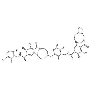 CN1CCN2CN(CC1)n1cc(C(=O)NCc3c(F)c(Cl)cc(CN4CCN5CN(CC4)n4cc(C(=O)NCc6c(F)ccc(Cl)c6F)c(=O)c(O)c4C5=O)c3F)c(=O)c(O)c1C2=O